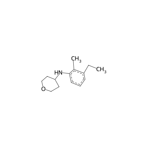 CCc1cccc(NC2CCOCC2)c1C